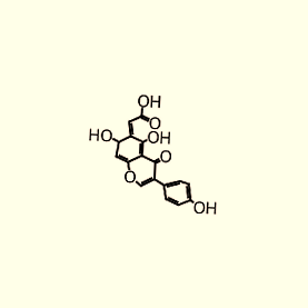 O=C(O)C=C1C(O)=c2c(occ(-c3ccc(O)cc3)c2=O)=CC1O